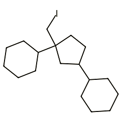 ICC1(C2CCCCC2)CCC(C2CCCCC2)C1